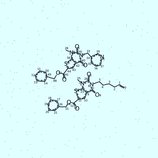 C=CCCCCn1c(=O)c2cc(C(=O)OCc3ccccc3)sc2n(C)c1=O.Cn1c(=O)n(Cc2cccnc2)c(=O)c2cc(C(=O)OCc3ccccc3)sc21